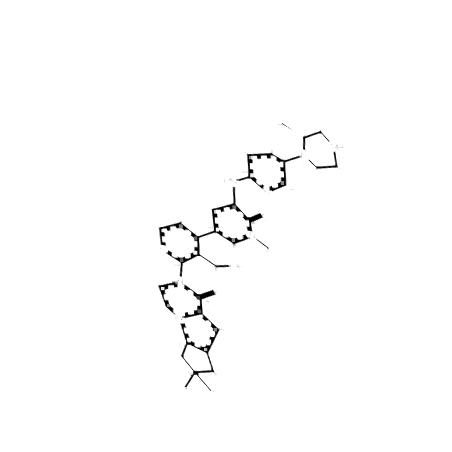 C[C@H]1CNCCN1c1ccc(Nc2cc(-c3ccnc(-n4ccn5c6c(cc5c4=O)CC(C)(C)C6)c3CO)cn(C)c2=O)nc1